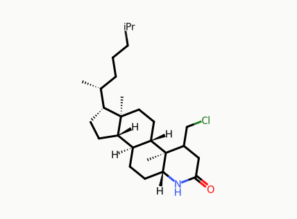 CC(C)CCC[C@@H](C)[C@H]1CC[C@H]2[C@@H]3CC[C@H]4NC(=O)CC(CCl)[C@]4(C)[C@H]3CC[C@]12C